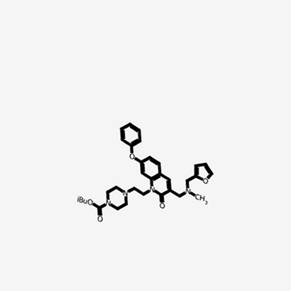 CC(C)COC(=O)N1CCN(CCn2c(=O)c(CN(C)Cc3ccco3)cc3ccc(Oc4ccccc4)cc32)CC1